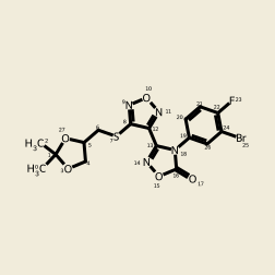 CC1(C)OCC(CSc2nonc2-c2noc(=O)n2-c2ccc(F)c(Br)c2)O1